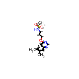 Cc1cc2ncnc(OCCCNS(C)(=O)=O)c2cc1C